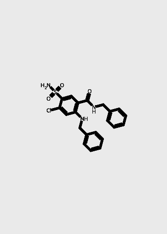 NS(=O)(=O)c1cc(C(=O)NCc2ccccc2)c(NCc2ccccc2)cc1Cl